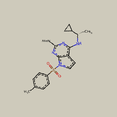 CNc1nc(N[C@@H](C)C2CC2)c2ccn(S(=O)(=O)c3ccc(C)cc3)c2n1